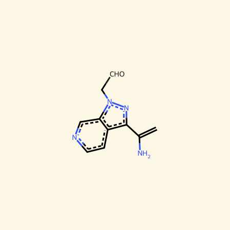 C=C(N)c1nn(CC=O)c2cnccc12